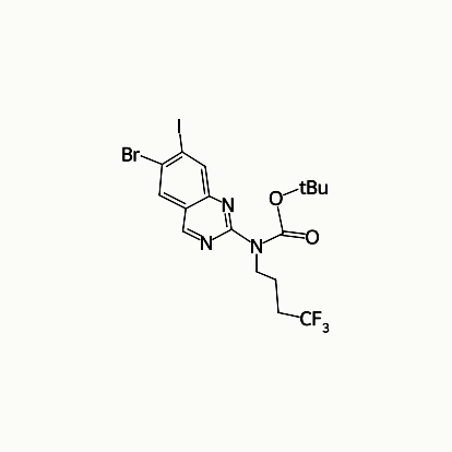 CC(C)(C)OC(=O)N(CCCC(F)(F)F)c1ncc2cc(Br)c(I)cc2n1